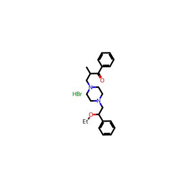 Br.CCOC(CN1CCN(CC(C)C(=O)c2ccccc2)CC1)c1ccccc1